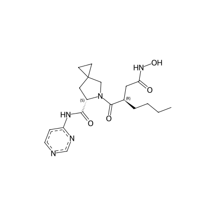 CCCC[C@H](CC(=O)NO)C(=O)N1CC2(CC2)C[C@H]1C(=O)Nc1ccncn1